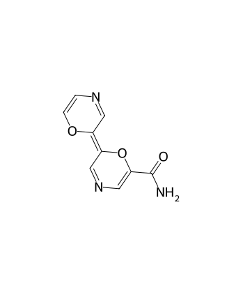 NC(=O)C1=CN=CC(=C2C=NC=CO2)O1